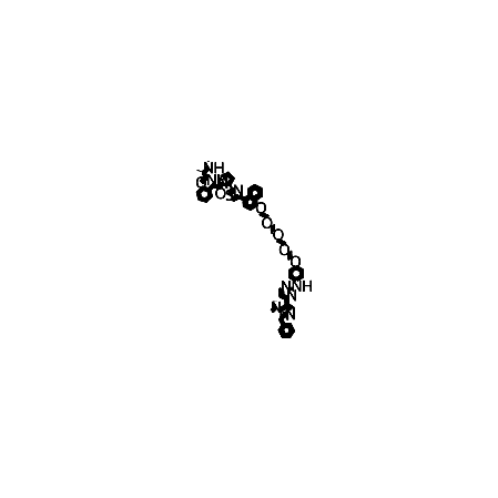 CN[C@@H](C)C(=O)N[C@H](C(=O)N1CCC[C@H]1c1nc(-c2ccc(OCCOCCOCCOCCOC3CCC(Nc4nccc(-c5cnn(Cc6ccccc6)c5N(C)C)n4)CC3)c3ccccc23)cs1)C1CCCCC1